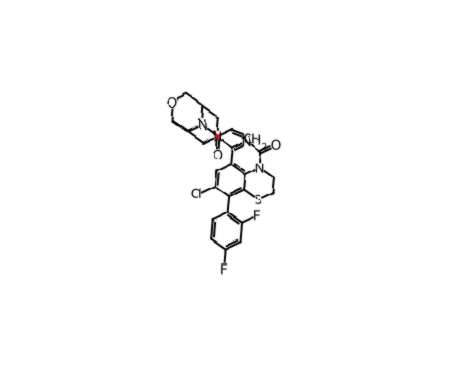 C=CC(=O)N1C2COCC1CN(c1nc(=O)n3c4c(c(-c5ccc(F)cc5F)c(Cl)cc14)SCC3)C2